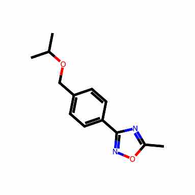 Cc1nc(-c2ccc(COC(C)C)cc2)no1